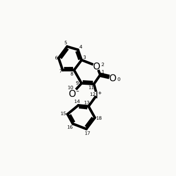 O=c1oc2ccccc2c([O-])c1[I+]c1ccccc1